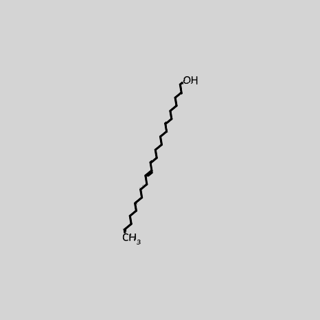 CCCCCCCCC/C=C/CCCCCCCCCCCCCO